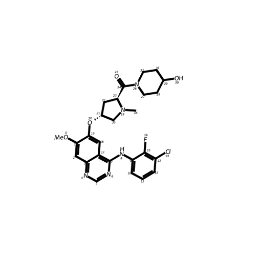 COc1cc2ncnc(Nc3cccc(Cl)c3F)c2cc1O[C@@H]1C[C@@H](C(=O)N2CCC(O)CC2)N(C)C1